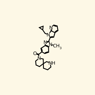 Cn1c(-c2cc3cccnc3n2CC2CC2)nc2cc(C(=O)N3CCCC4(CCCNC4)C3)ccc21